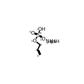 C=CCOS(=O)(=O)O.[NaH].[NaH]